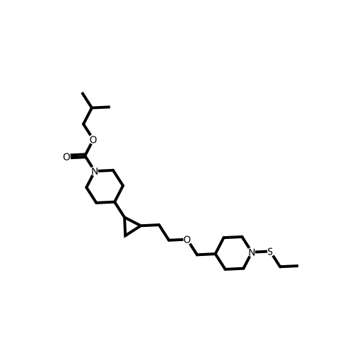 CCSN1CCC(COCCC2CC2C2CCN(C(=O)OCC(C)C)CC2)CC1